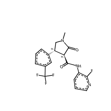 CN1C[C@@H](c2cccc(C(F)(F)F)c2)[C@H](C(=O)Nc2cccnc2F)C1=O